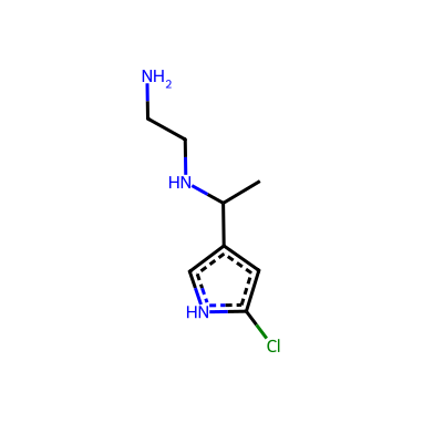 CC(NCCN)c1c[nH]c(Cl)c1